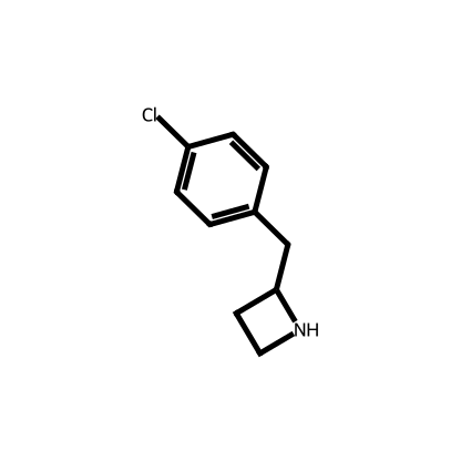 Clc1ccc(CC2CCN2)cc1